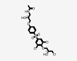 CC(=O)NC[C@H](O)COc1ccc(S(=O)(=O)c2cc(Cl)c(OC[C@H](O)CCl)c(Cl)c2)cc1